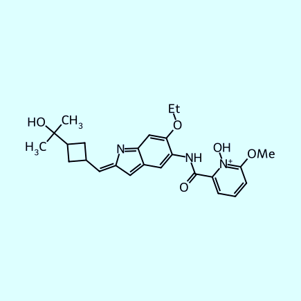 CCOc1cc2c(cc1NC(=O)c1cccc(OC)[n+]1O)=C/C(=C/C1CC(C(C)(C)O)C1)N=2